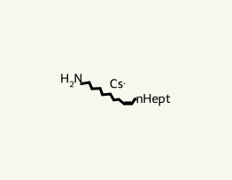 CCCCCCCC/C=C\CCCCCCCCN.[Cs]